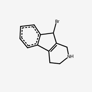 BrC1C2=C(CCNC2)c2ccccc21